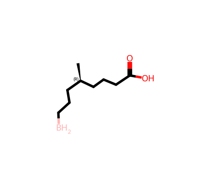 BCCC[C@@H](C)CCCC(=O)O